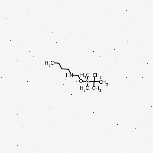 CCCCNCO[Si](C)(C)C(C)(C)C